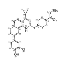 CC(C)(C)OC(=O)N1CCN(CCNc2c(C(=O)C3CC3)cnc3ccc(-c4ccc(O)c(Cl)c4)cc23)CC1